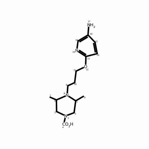 CC1CN(C(=O)O)CC(C)N1CCCOc1ccc(N)cn1